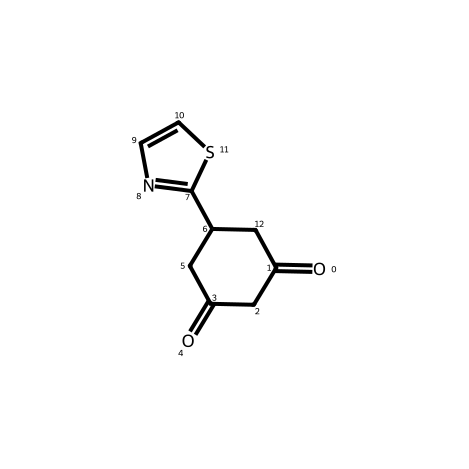 O=C1CC(=O)CC(c2nccs2)C1